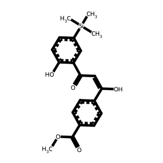 COC(=O)c1ccc(/C(O)=C\C(=O)c2cc([Si](C)(C)C)ccc2O)cc1